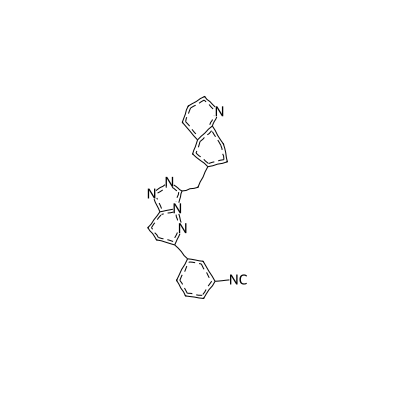 [C-]#[N+]c1cccc(-c2ccc3nnc(Cc4ccc5ncccc5c4)n3n2)c1